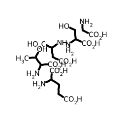 CC(O)C(N)C(=O)O.NC(CC(=O)O)C(=O)O.NC(CCC(=O)O)C(=O)O.NC(CO)C(=O)O.NCC(=O)O